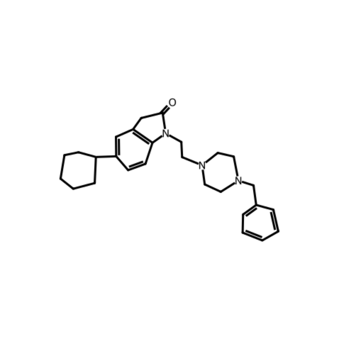 O=C1Cc2cc(C3CCCCC3)ccc2N1CCN1CCN(Cc2ccccc2)CC1